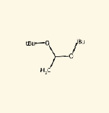 CCC(C)OC(C)OC(C)(C)C